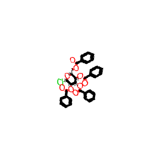 O=C(OC[C@H]1O[C@@H](Cl)[C@H](OC(=O)c2ccccc2)[C@@H](OC(=O)c2ccccc2)[C@@H]1OC(=O)c1ccccc1)c1ccccc1